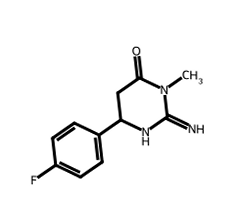 CN1C(=N)NC(c2ccc(F)cc2)CC1=O